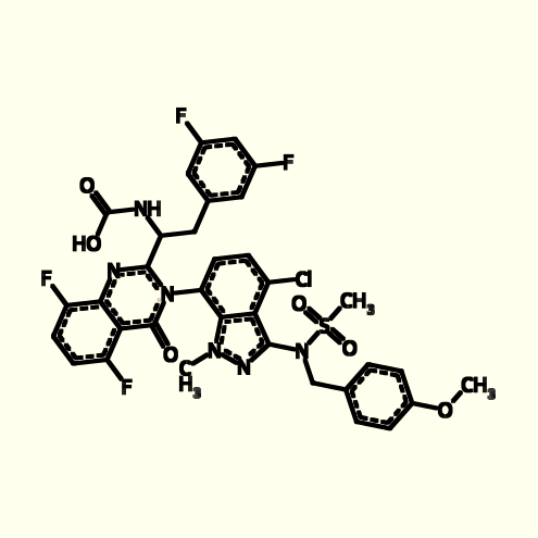 COc1ccc(CN(c2nn(C)c3c(-n4c(C(Cc5cc(F)cc(F)c5)NC(=O)O)nc5c(F)ccc(F)c5c4=O)ccc(Cl)c23)S(C)(=O)=O)cc1